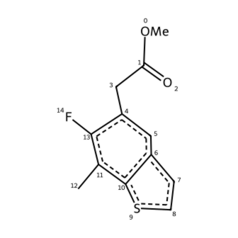 COC(=O)Cc1cc2ccsc2c(C)c1F